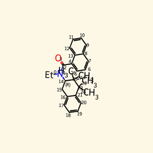 CCN(C(=O)c1cccc2ccccc12)[C@@H]1Cc2ccccc2C(C)(C)C1(C)C